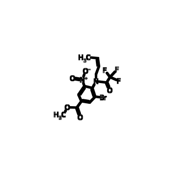 C/C=C\CN(C(=O)C(F)(F)F)c1c(Br)cc(C(=O)OC)cc1[N+](=O)[O-]